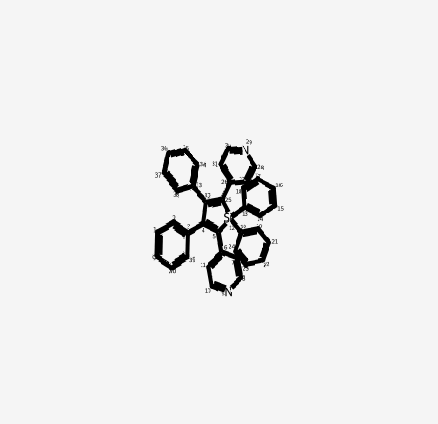 c1ccc(C2=C(c3ccncc3)[Si](c3ccccc3)(c3ccccc3)C(c3ccncc3)=C2c2ccccc2)cc1